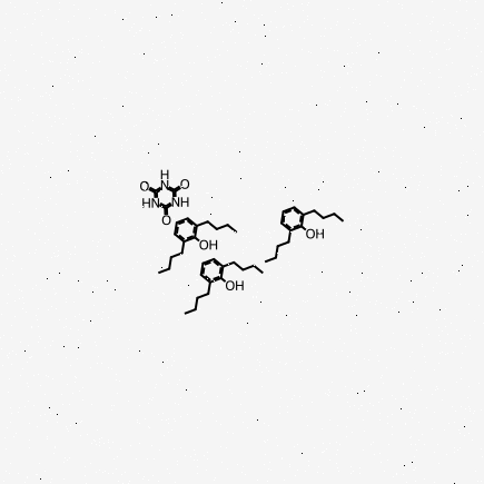 CCCCc1cccc(CCCC)c1O.CCCCc1cccc(CCCC)c1O.CCCCc1cccc(CCCC)c1O.O=c1[nH]c(=O)[nH]c(=O)[nH]1